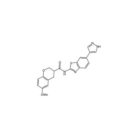 COc1ccc2c(c1)CC(C(=O)Nc1nc3ccc(-c4cn[nH]c4)cc3s1)CO2